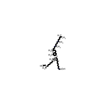 C#CCN(C)CCCCCCO[Si](C)(C)OC(CCCCCCC/C=C\CCCCCCCC)Oc1cc(C)c2c(c1)CCC(C)(CC/C=C(\C)CC/C=C(\C)CCC=C(C)C)O2